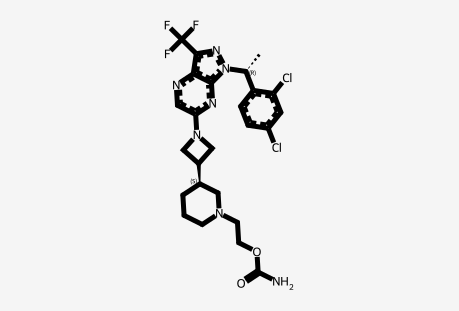 C[C@H](c1ccc(Cl)cc1Cl)n1nc(C(F)(F)F)c2ncc(N3CC([C@@H]4CCCN(CCOC(N)=O)C4)C3)nc21